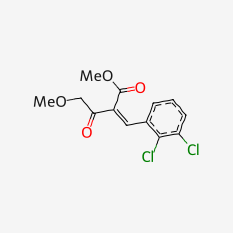 COCC(=O)C(=Cc1cccc(Cl)c1Cl)C(=O)OC